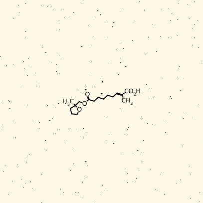 CC(=CCCCCCC(=O)OCC1(C)CCCO1)C(=O)O